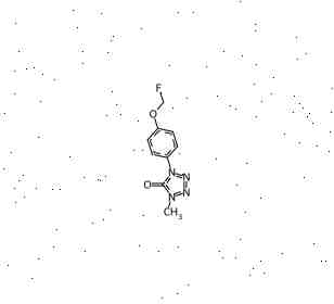 Cn1nnn(-c2ccc(OCF)cc2)c1=O